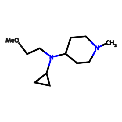 COCCN(C1CC1)C1CCN(C)CC1